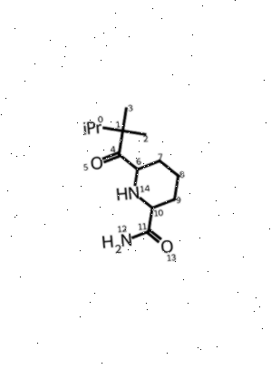 CC(C)C(C)(C)C(=O)C1CCCC(C(N)=O)N1